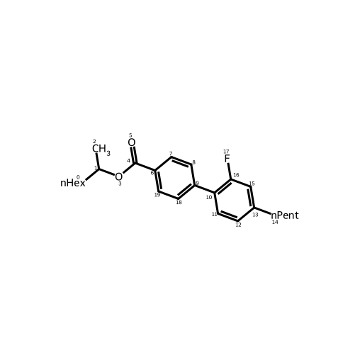 CCCCCCC(C)OC(=O)c1ccc(-c2ccc(CCCCC)cc2F)cc1